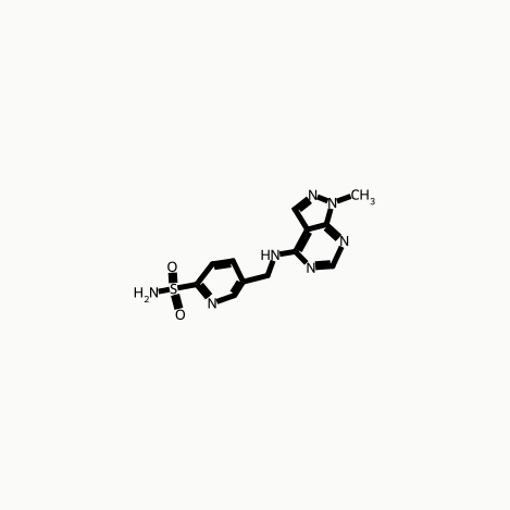 Cn1ncc2c(NCc3ccc(S(N)(=O)=O)nc3)ncnc21